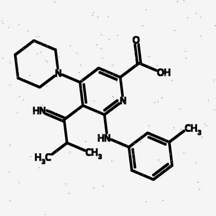 Cc1cccc(Nc2nc(C(=O)O)cc(N3CCCCC3)c2C(=N)C(C)C)c1